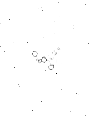 CC(C)(CNS(=O)(=O)C1CC1)[C@@H](c1ccccc1)c1ccc2c(cnn2-c2ccc(F)cc2)c1